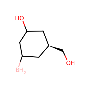 BC1CC(O)C[C@@H](CO)C1